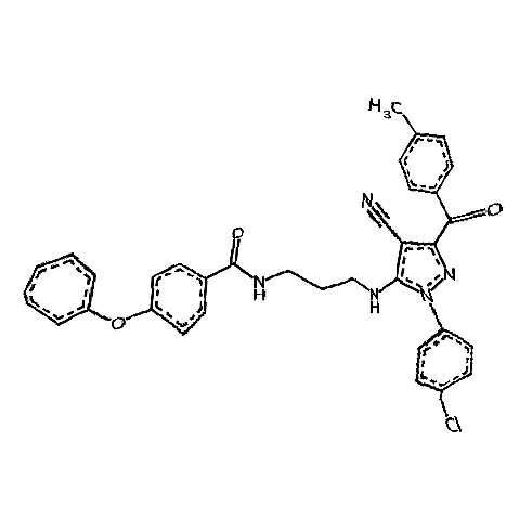 Cc1ccc(C(=O)c2nn(-c3ccc(Cl)cc3)c(NCCCNC(=O)c3ccc(Oc4ccccc4)cc3)c2C#N)cc1